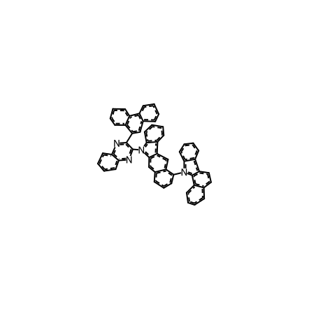 c1cc(-n2c3ccccc3c3ccc4ccccc4c32)c2cc3c4ccccc4n(-c4nc5ccccc5nc4-c4cc5ccccc5c5ccccc45)c3cc2c1